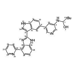 CC(C)(C)C(O)Nc1cncc(-c2ccc3[nH]nc(-c4nc5c(-c6ccccn6)cccc5[nH]4)c3c2)c1